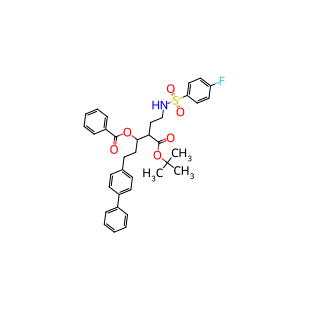 CC(C)(C)OC(=O)C(CCNS(=O)(=O)c1ccc(F)cc1)C(CCc1ccc(-c2ccccc2)cc1)OC(=O)c1ccccc1